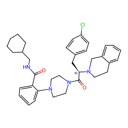 O=C(NCC1CCCCC1)c1ccccc1N1CCN(C(=O)[C@@H](Cc2ccc(Cl)cc2)N2[CH]Cc3ccccc3C2)CC1